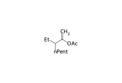 C=C(OC(C)=O)C(CC)CCCCC